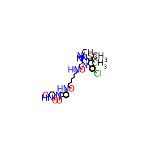 Cc1sc2c(c1C)C(c1ccc(Cl)cc1)=N[C@@H](CC(=O)NCCCCCCC(=O)Nc1cccc3c1CN(C1CCC(=O)NC1=O)C3=O)c1nnc(C)n1-2